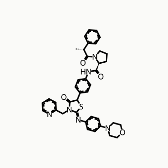 C[C@@H](C(=O)N1CCC[C@H]1C(=O)Nc1ccc(C2S/C(=N\c3ccc(N4CCOCC4)cc3)N(Cc3ccccn3)C2=O)cc1)c1ccccc1